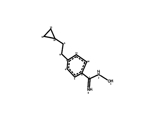 N=C(NO)c1ccc(CCC2CC2)cc1